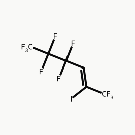 FC(F)(F)C(I)=CC(F)(F)C(F)(F)C(F)(F)F